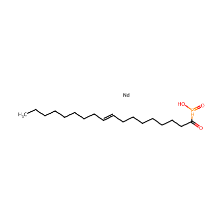 CCCCCCCCC=CCCCCCCCC(=O)[PH](=O)O.[Nd]